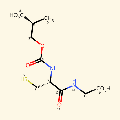 C[C@@H](COC(=O)N[C@@H](CS)C(=O)NCC(=O)O)C(=O)O